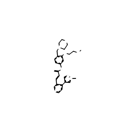 COCCOc1cc(NC(=O)/C=C/c2cnccc2-c2cnn(C)c2)ccc1CN1CCOCC1